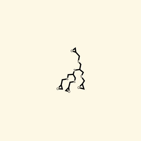 C1OC1CSCC(CSCC1CO1)SC(CSCC1CO1)CSCC1CO1